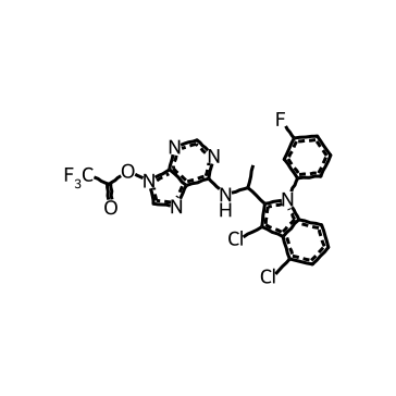 CC(Nc1ncnc2c1ncn2OC(=O)C(F)(F)F)c1c(Cl)c2c(Cl)cccc2n1-c1cccc(F)c1